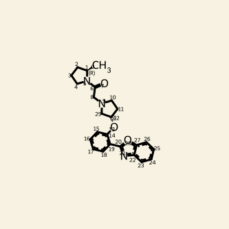 C[C@@H]1CCCN1C(=O)CN1CC[C@H](Oc2ccccc2-c2nc3ccccc3o2)C1